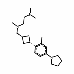 Cc1cc(N2CCCC2)ccc1[C@H]1C[C@H](CN(C)CCN(C)C)C1